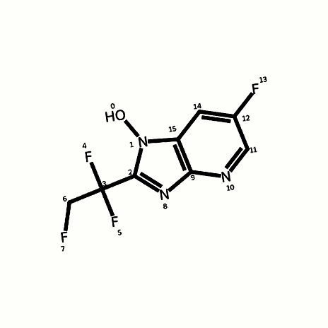 On1c(C(F)(F)CF)nc2ncc(F)cc21